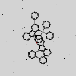 c1ccc(-c2cc([Si](c3ccccc3)(c3ccccc3)c3ccccc3)c3c(c2)c2ccccc2n3-c2ccc3c4ccccc4n(-c4ccccc4-c4ccccc4)c3c2)cc1